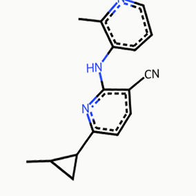 Cc1ncccc1Nc1nc(C2CC2C)ccc1C#N